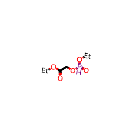 CCOC(=O)CO[PH](=O)OCC